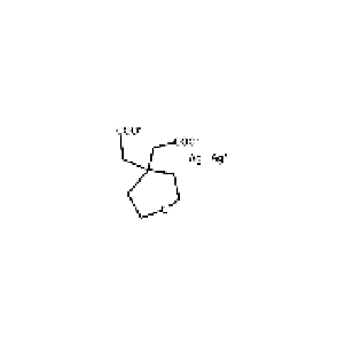 O=C([O-])CC1(CC(=O)[O-])CCCCC1.[Ag+].[Ag+]